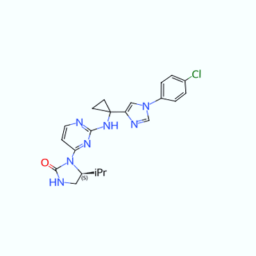 CC(C)[C@H]1CNC(=O)N1c1ccnc(NC2(c3cn(-c4ccc(Cl)cc4)cn3)CC2)n1